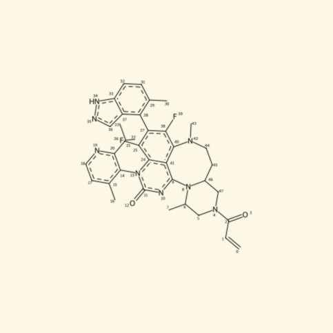 C=CC(=O)N1CC(C)N2c3nc(=O)n(-c4c(C)ccnc4C(C)C)c4c(F)c(-c5c(C)ccc6[nH]ncc56)c(F)c(c34)N(C)CCC2C1